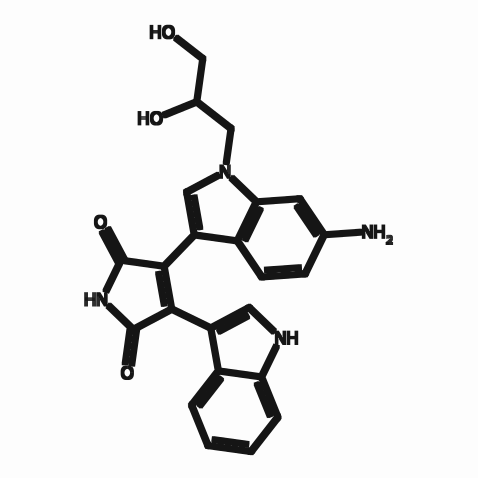 Nc1ccc2c(C3=C(c4c[nH]c5ccccc45)C(=O)NC3=O)cn(CC(O)CO)c2c1